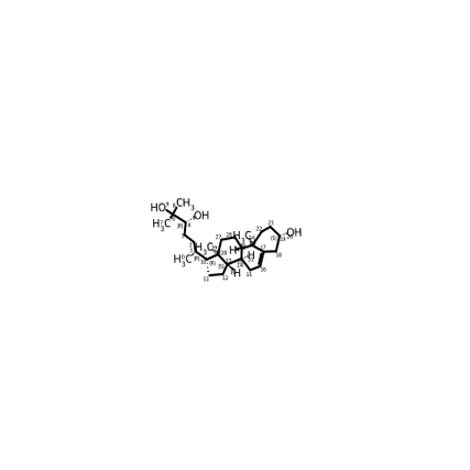 C[C@H](CC[C@@H](O)C(C)(C)O)[C@H]1CC[C@H]2[C@@H]3CC=C4C[C@@H](O)CC[C@]4(C)[C@H]3CC[C@]12C